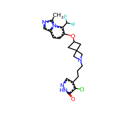 Cc1ncc2ccc(OC3CC4(C3)CN(CCCc3cn[nH]c(=O)c3Cl)C4)c(C(F)F)n12